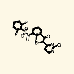 O=C(c1cccc(NS(=O)(=O)c2c(F)cccc2F)c1F)C(Br)c1ccnc(Cl)n1